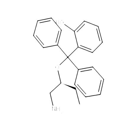 CC[C@@H](CN)OC(c1ccccc1)(c1ccccc1)c1ccccc1O